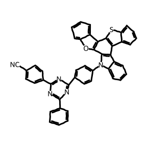 N#Cc1ccc(-c2nc(-c3ccccc3)nc(-c3ccc(-n4c5ccccc5c5c6c7ccccc7sc6c6c7ccccc7oc6c54)cc3)n2)cc1